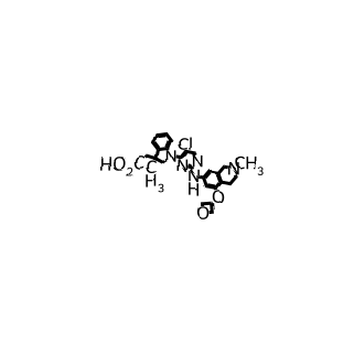 CN1CCc2c(cc(Nc3ncc(Cl)c(N4CC(C)(CC(=O)O)c5ccccc54)n3)cc2OC2COC2)C1